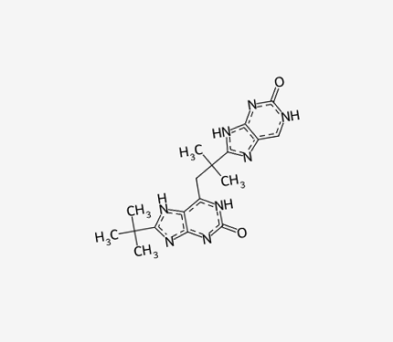 CC(C)(C)c1nc2nc(=O)[nH]c(CC(C)(C)c3nc4c[nH]c(=O)nc4[nH]3)c2[nH]1